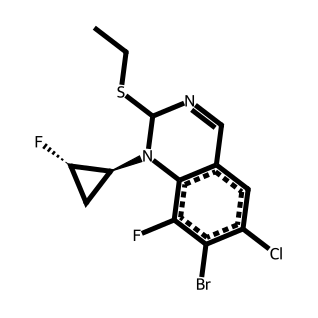 CCSC1N=Cc2cc(Cl)c(Br)c(F)c2N1[C@H]1C[C@@H]1F